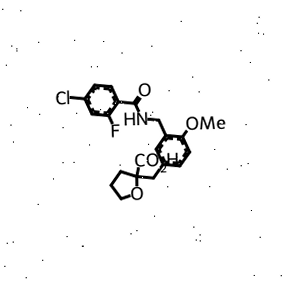 COc1ccc(CC2(C(=O)O)CCCO2)cc1CNC(=O)c1ccc(Cl)cc1F